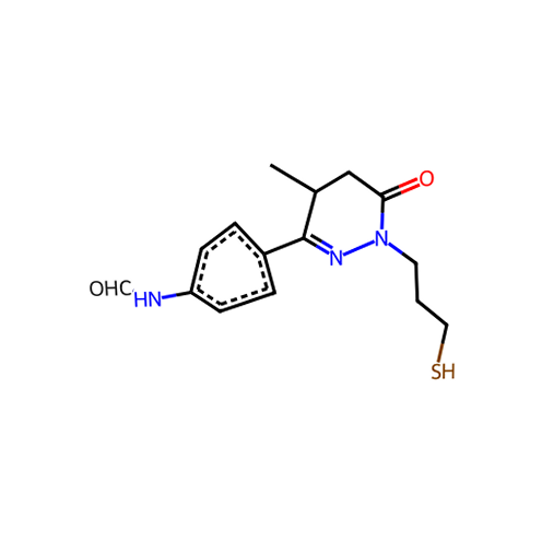 CC1CC(=O)N(CCCS)N=C1c1ccc(NC=O)cc1